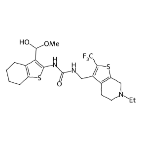 CCN1CCc2c(sc(C(F)(F)F)c2CNC(=O)Nc2sc3c(c2C(O)OC)CCCC3)C1